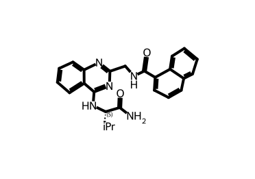 CC(C)[C@H](Nc1nc(CNC(=O)c2cccc3ccccc23)nc2ccccc12)C(N)=O